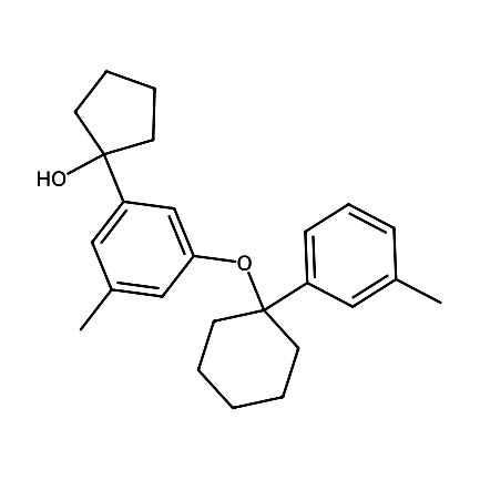 Cc1cc(OC2(c3cccc(C)c3)CCCCC2)cc(C2(O)CCCC2)c1